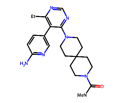 CCc1ncnc(N2CCC3(CCN(C(=O)NC)CC3)CC2)c1-c1ccc(N)nc1